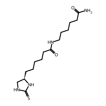 NC(=O)CCCCCNC(=O)CCCCC[C@@H]1CNC(=S)N1